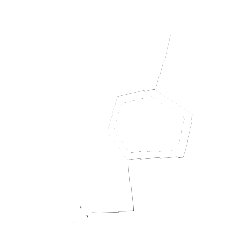 Cc1c[c]c(CN)cc1